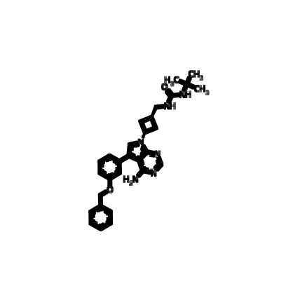 CC(C)(C)NC(=O)NC[C@H]1C[C@H](n2cc(-c3cccc(OCc4ccccc4)c3)c3c(N)ncnc32)C1